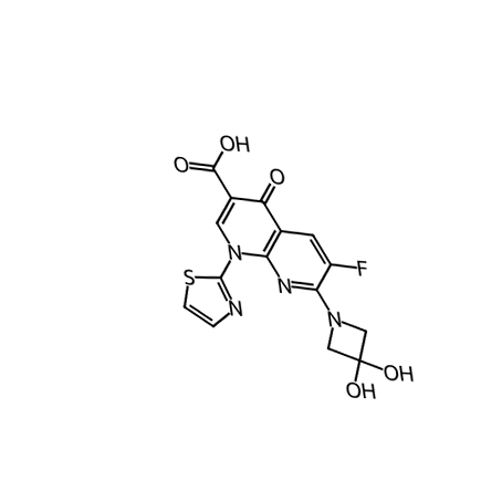 O=C(O)c1cn(-c2nccs2)c2nc(N3CC(O)(O)C3)c(F)cc2c1=O